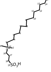 C[N+](C)(CCCCCCCCCCCCO)CCCS(=O)(=O)O